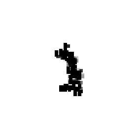 CCCC1C(CC)CCC2C1CCC1(C)C(C(=O)Cn3cc4c(n3)CNC(Cl)=C4)CCC21